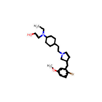 CCN(CCO)C1CCC(CCN2CCC(Cc3cc(OC)ccc3Br)C2)CC1